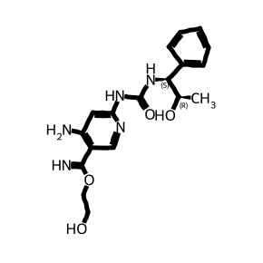 C[C@@H](O)[C@@H](NC(=O)Nc1cc(N)c(C(=N)OCCO)cn1)c1ccccc1